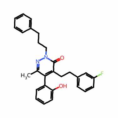 Cc1nn(CCCc2ccccc2)c(=O)c(CCc2cccc(F)c2)c1-c1ccccc1O